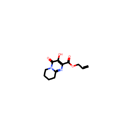 C=CCOC(=O)c1nc2n(c(=O)c1O)CCCC2